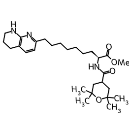 COC(=O)[C@H](CCCCCCCc1ccc2c(n1)NCCC2)NC(=O)C1CC(C)(C)OC(C)(C)C1